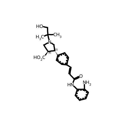 CC(C)(CO)N1C[C@H](C(=O)O)[C@@H](c2ccc(C=CC(=O)Nc3ccccc3N)cc2)C1